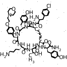 C[C@@H](O)[C@@H]1NC(=O)[C@H](CCCCN)NC(=O)[C@@H](Cc2ccc(OCCN3CCOCC3)cc2)NC(=O)[C@H](Cc2ccc(O)cc2)NC(=O)[C@H](NC(=O)[C@@H](N)Cc2ccc(Cl)cc2)CSSC[C@@H](C(=O)N[C@H](Cc2ccc(O)cc2)C(N)=O)NC1=O